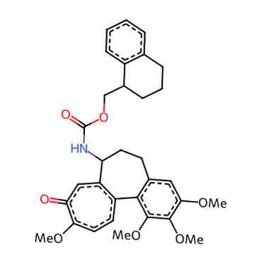 COc1cc2c(c(OC)c1OC)-c1ccc(OC)c(=O)cc1C(NC(=O)OCC1CCCc3ccccc31)CC2